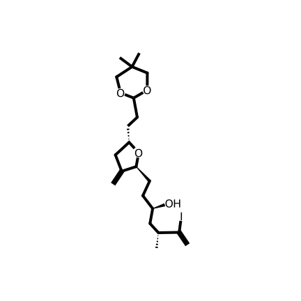 C=C(I)[C@H](C)C[C@H](O)CC[C@@H]1O[C@@H](CCC2OCC(C)(C)CO2)CC1=C